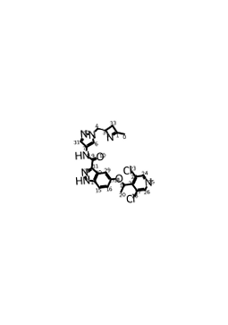 CC1=N[C@@H](Cn2cc(NC(=O)c3n[nH]c4ccc(OC(C)c5c(Cl)cncc5Cl)cc34)cn2)C1